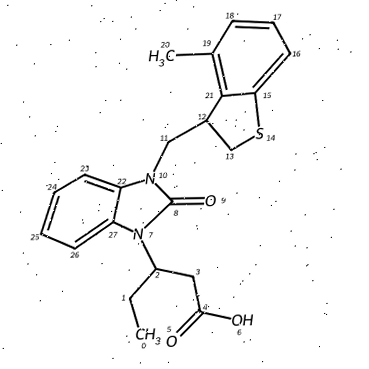 CCC(CC(=O)O)n1c(=O)n(CC2CSc3cccc(C)c32)c2ccccc21